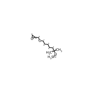 CC(C)(CCCCCOCC1CO1)O[SiH3]